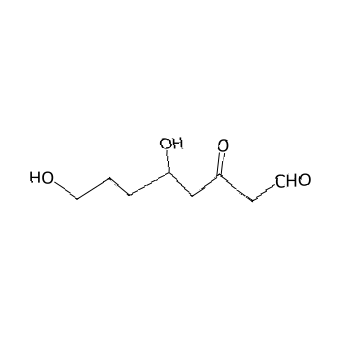 O=CCC(=O)CC(O)CCCO